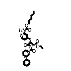 CCCCCCOC(=O)Nc1cc(C[C@H]2C(=O)N(C(=O)N3CCC[C@@H](C4C=CC=CC4)C3)[C@@H]2C(=O)OCC)ccn1